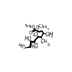 CO[C@]1(C(=O)O)C[C@@H](O)[C@@H](C)C([C@H](O)[C@H](O)CO)O1